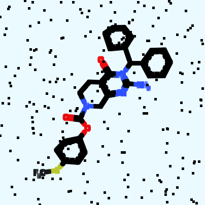 Nc1nc2c(c(=O)n1C(c1ccccc1)c1ccccc1)CCN(C(=O)Oc1ccc(SC(F)(F)F)cc1)C2